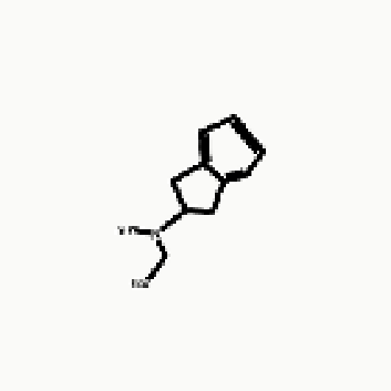 CCCN(CC(C)(C)C)C1Cc2ccccc2C1